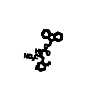 O=C(N[C@@H](Cc1cnccc1F)C(=O)O)OCC1c2ccccc2-c2ccccc21